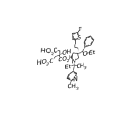 CCO[C@H](c1ccccc1)[C@]1(CCc2ccc(F)s2)CCN(C(C)(CC)c2ccc(C)nc2)C1.O=C(O)CC(O)(CC(=O)O)C(=O)O